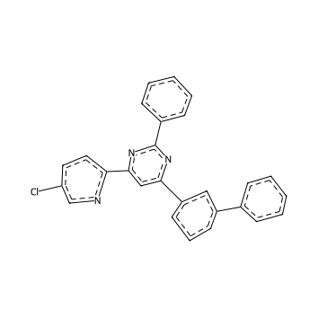 Clc1ccc(-c2cc(-c3cccc(-c4ccccc4)c3)nc(-c3ccccc3)n2)nc1